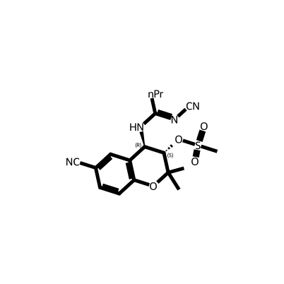 CCCC(=NC#N)N[C@@H]1c2cc(C#N)ccc2OC(C)(C)[C@H]1OS(C)(=O)=O